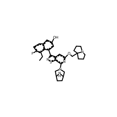 CCc1c(F)ccc2cc(O)cc(-c3nsc4c(N5CC6CCC(C5)N6)nc(OCC56CCCN5CCC6)cc34)c12